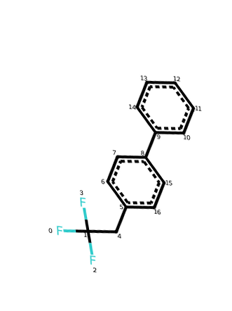 FC(F)(F)Cc1ccc(-c2c[c]ccc2)cc1